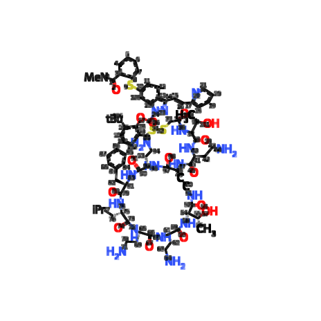 CNC(=O)c1ccccc1Sc1ccc2c(/C=C/c3ccccn3)nn(C(=O)Oc3c(CSSCC(=O)N[C@H](C(=O)N[C@@H](CCN)C(=O)N[C@H]4CCNC(=O)[C@H]([C@@H](C)O)NC(=O)[C@H](CCN)NC(=O)[C@H](CCN)NC(=O)[C@H](CC(C)C)NC(=O)[C@@H](Cc5ccccc5)NC(=O)[C@H](CCN)NC4=O)[C@@H](C)O)cccc3C(C)(C)C)c2c1